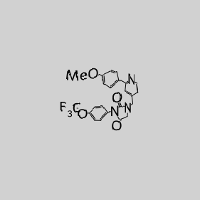 COc1ccc(-c2cc(CN3CC(=O)N(c4ccc(OC(F)(F)F)cc4)C3=O)ccn2)cc1